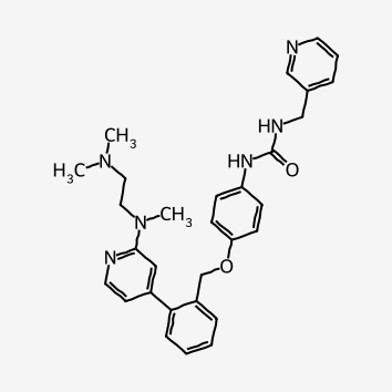 CN(C)CCN(C)c1cc(-c2ccccc2COc2ccc(NC(=O)NCc3cccnc3)cc2)ccn1